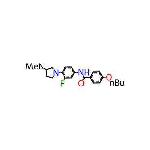 CCCCOc1ccc(C(=O)Nc2ccc(N3CCC(NC)C3)c(F)c2)cc1